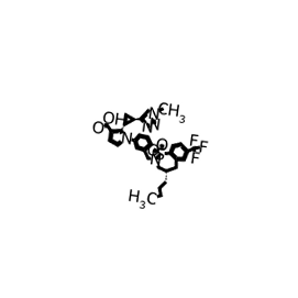 CCCC[C@H]1Cc2cc(C(F)(F)F)ccc2S(=O)(=O)N(Cc2cccc(-n3ccc(C(=O)O)c3[C@@H]3C[C@H]3c3cn(C)nn3)c2)C1